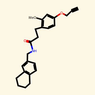 C#CCOc1ccc(CCC(=O)NCc2ccc3c(c2)CCCC3)c(OC)c1